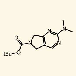 CN(C)c1ncc2c(n1)CN(C(=O)OC(C)(C)C)C2